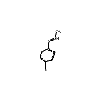 C[SH]=Nc1ccc(Br)cc1